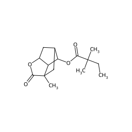 CCC(C)(C)C(=O)OC1C2CC3OC(=O)C(C)(C2)C31